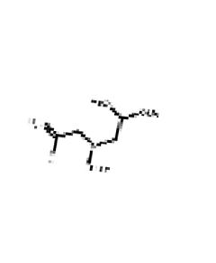 C=C(Cl)CN(CC(OC)OC)C(=O)OCC